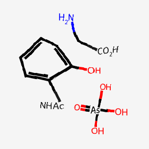 CC(=O)Nc1ccccc1O.NCC(=O)O.O=[As](O)(O)O